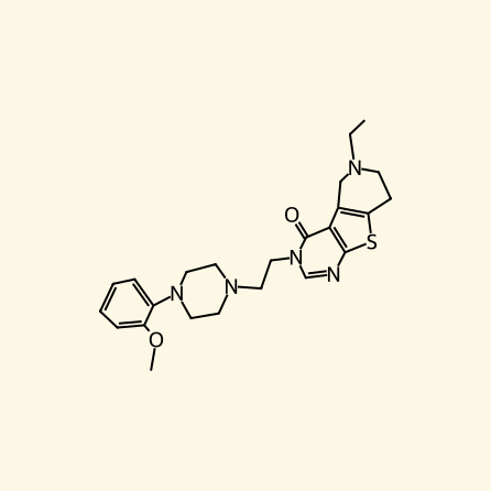 CCN1CCc2sc3ncn(CCN4CCN(c5ccccc5OC)CC4)c(=O)c3c2C1